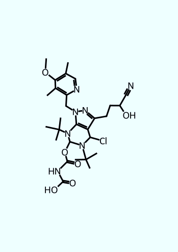 COc1c(C)cnc(Cn2nc(CCC(O)C#N)c3c2N(C(C)(C)C)C(OC(=O)NC(=O)O)N(C(C)(C)C)C3Cl)c1C